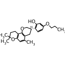 CCCOc1ccc([C@H]2COc3c(c(C)cc4c3CCC(C)(C)O4)C2)c(O)c1